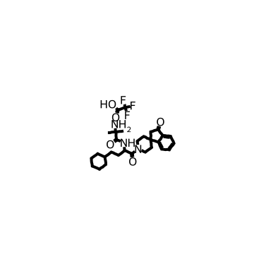 CC(C)(N)C(=O)NC(CCC1CCCCC1)C(=O)N1CCC2(CC1)CC(=O)c1ccccc12.O=C(O)C(F)(F)F